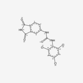 O=C(Nc1ccc2c(c1)C(=O)NC2=O)Nc1c(Cl)cc(Cl)cc1Cl